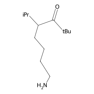 CC(C)C(CCCCN)C(=O)C(C)(C)C